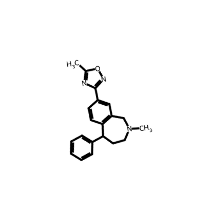 Cc1nc(-c2ccc3c(c2)CN(C)CCC3c2ccccc2)no1